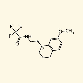 COc1ccc2c(c1)[C@H](CCNC(=O)C(F)(F)F)CCC2